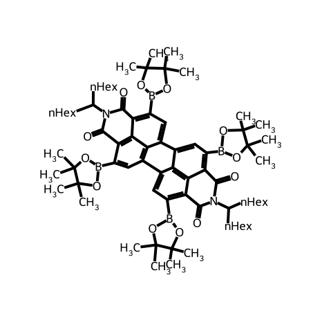 CCCCCCC(CCCCCC)N1C(=O)c2c(B3OC(C)(C)C(C)(C)O3)cc3c4cc(B5OC(C)(C)C(C)(C)O5)c5c6c(c(B7OC(C)(C)C(C)(C)O7)cc(c7cc(B8OC(C)(C)C(C)(C)O8)c(c2c37)C1=O)c64)C(=O)N(C(CCCCCC)CCCCCC)C5=O